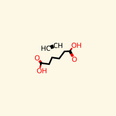 C#C.O=C(O)CCCCC(=O)O